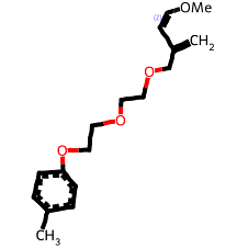 C=C(/C=C\OC)COCCOCCOc1ccc(C)cc1